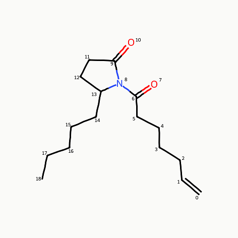 C=CCCCCC(=O)N1C(=O)CCC1CCCCC